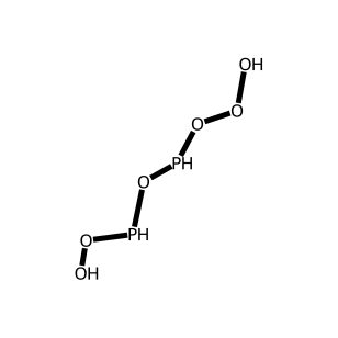 OOOPOPOO